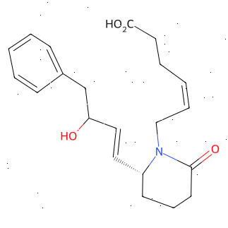 O=C(O)CC/C=C\CN1C(=O)CCC[C@@H]1/C=C/C(O)Cc1ccccc1